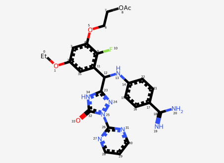 CCOc1cc(OCCOC(C)=O)c(F)c(C(Nc2ccc(C(=N)N)cc2)c2nn(-c3ncccn3)c(=O)[nH]2)c1